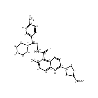 CC(=O)NC1CCN(c2ccc3c(C(=O)NCC(c4cnc(C(F)(F)F)nc4)N4CCOCC4)c(Cl)ccc3n2)C1